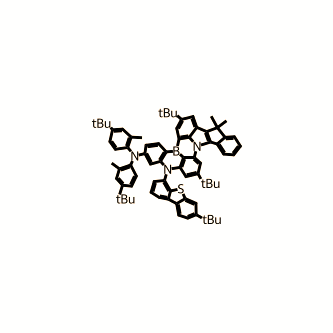 Cc1cc(C(C)(C)C)ccc1N(c1ccc2c(c1)N(c1cccc3c1sc1cc(C(C)(C)C)ccc13)c1cc(C(C)(C)C)cc3c1B2c1cc(C(C)(C)C)cc2c4c(n-3c12)-c1ccccc1C4(C)C)c1ccc(C(C)(C)C)cc1C